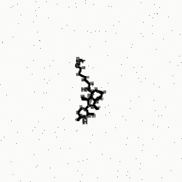 C=C1CCC(n2c(=C)c3cccc(NCCCCCOCCC)c3c2=C)C(=C)N1